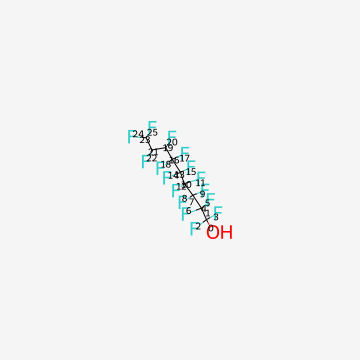 OC(F)(F)C(F)(F)C(F)(F)C(F)(F)C(F)(F)C(F)(F)C(F)C(F)C(F)F